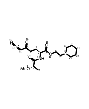 CO[C@@H](C)C(=O)N[C@@H](CCC(=O)C=[N+]=[N-])C(=O)OCCN1CCCCC1